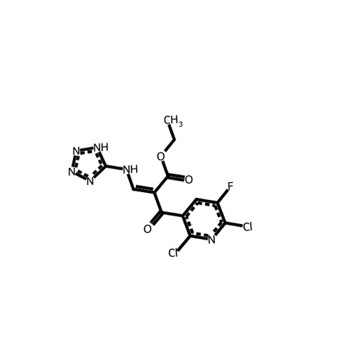 CCOC(=O)C(=CNc1nnn[nH]1)C(=O)c1cc(F)c(Cl)nc1Cl